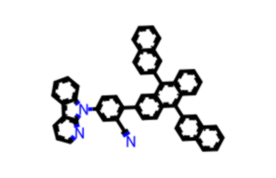 N#Cc1cc(-n2c3ccccc3c3cccnc32)ccc1-c1ccc2c(-c3ccc4ccccc4c3)c3ccccc3c(-c3ccc4ccccc4c3)c2c1